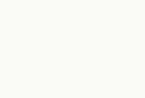 CCC#CCCCCCCCCCCO